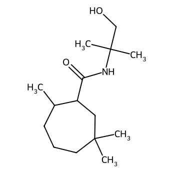 CC1CCCC(C)(C)CC1C(=O)NC(C)(C)CO